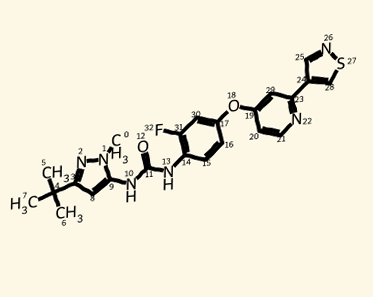 Cn1nc(C(C)(C)C)cc1NC(=O)Nc1ccc(Oc2ccnc(-c3cnsc3)c2)cc1F